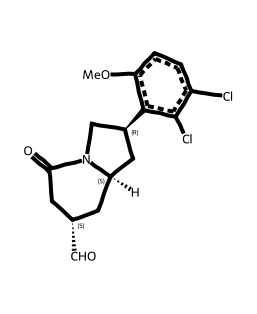 COc1ccc(Cl)c(Cl)c1[C@H]1C[C@H]2C[C@H](C=O)CC(=O)N2C1